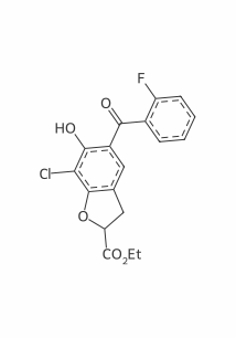 CCOC(=O)C1Cc2cc(C(=O)c3ccccc3F)c(O)c(Cl)c2O1